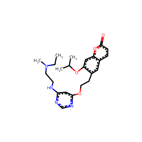 CCN(C)CCNc1cc(OCCc2cc3ccc(=O)oc3cc2OC(C)C)ncn1